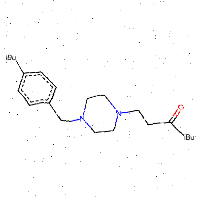 CCC(C)C(=O)CCN1CCN(Cc2ccc(C(C)CC)cc2)CC1